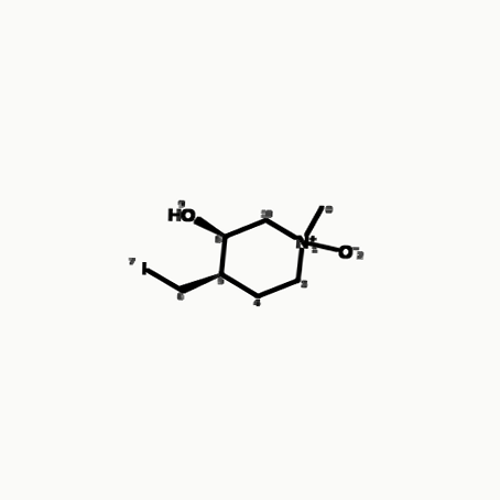 C[N+]1([O-])CC[C@@H](CI)[C@@H](O)C1